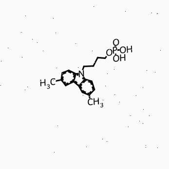 Cc1ccc2c(c1)c1cc(C)ccc1n2CCCCOP(=O)(O)O